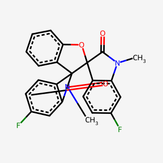 CN1C(=O)C2(Oc3ccccc3C23C(=O)N(C)c2cc(F)ccc23)c2ccc(F)cc21